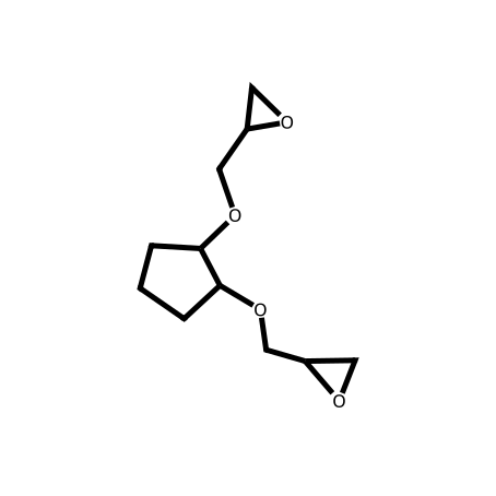 C1CC(OCC2CO2)C(OCC2CO2)C1